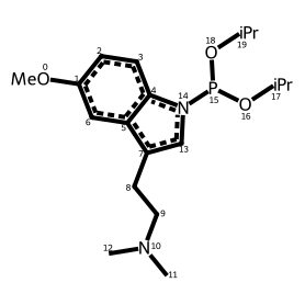 COc1ccc2c(c1)c(CCN(C)C)cn2P(OC(C)C)OC(C)C